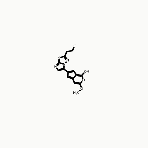 COc1cc2cc(-c3cnc4sc(CCF)nn34)cc-2c(O)o1